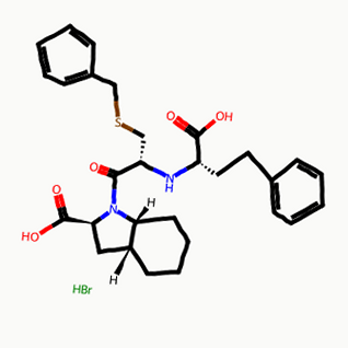 Br.O=C(O)[C@H](CCc1ccccc1)N[C@@H](CSCc1ccccc1)C(=O)N1[C@@H]2CCCC[C@@H]2C[C@H]1C(=O)O